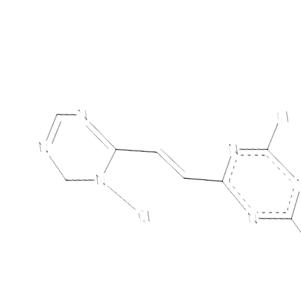 Clc1nc(Cl)nc([C]=CC2=NC=NCN2Cl)n1